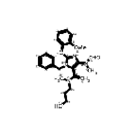 C=C(c1c(N(C)C=O)nc(Oc2ccccc2OC)n1Cc1ccccc1)N(C)CCCO